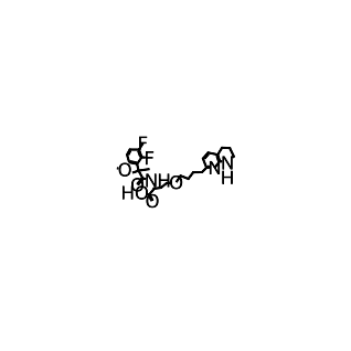 COc1ccc(F)c(F)c1C(C)(C)C(=O)NC(CCOCCCCc1ccc2c(n1)NCCC2)C(=O)O